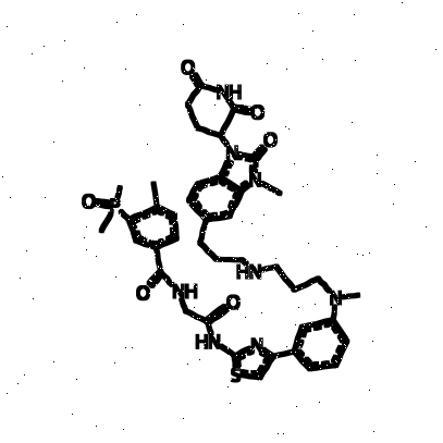 Cc1ccc(C(=O)NCC(=O)Nc2nc(-c3cccc(N(C)CCCNCCCc4ccc5c(c4)n(C)c(=O)n5C4CCC(=O)NC4=O)c3)cs2)cc1P(C)(C)=O